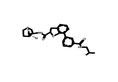 CC(C)CNC(=O)c1cccc(-c2cccc3c2OC(C(=O)N[C@@H]2CN4CCC2CC4)C3)c1